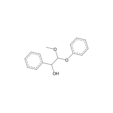 COC(Oc1ccccc1)C(O)c1ccccc1